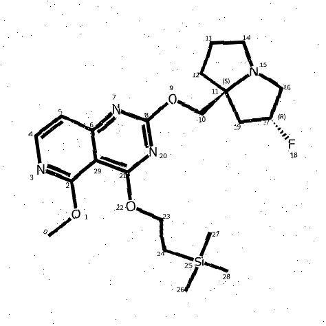 COc1nccc2nc(OC[C@@]34CCCN3C[C@H](F)C4)nc(OCC[Si](C)(C)C)c12